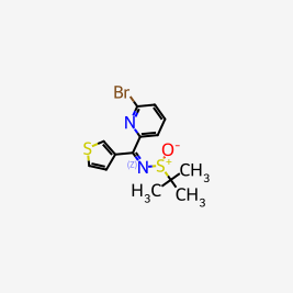 CC(C)(C)[S+]([O-])/N=C(/c1ccsc1)c1cccc(Br)n1